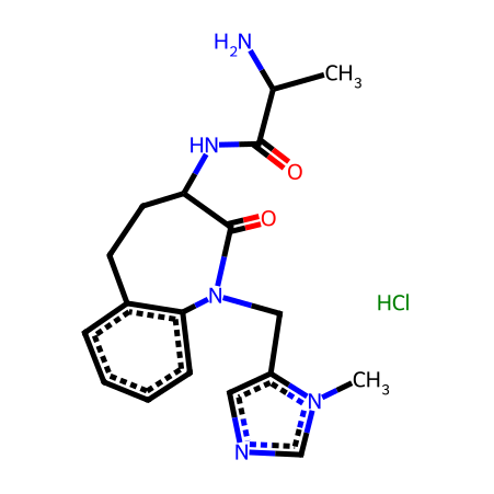 CC(N)C(=O)NC1CCc2ccccc2N(Cc2cncn2C)C1=O.Cl